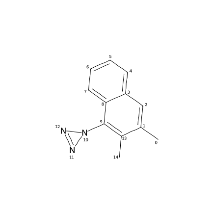 Cc1cc2ccccc2c(N2N=N2)c1C